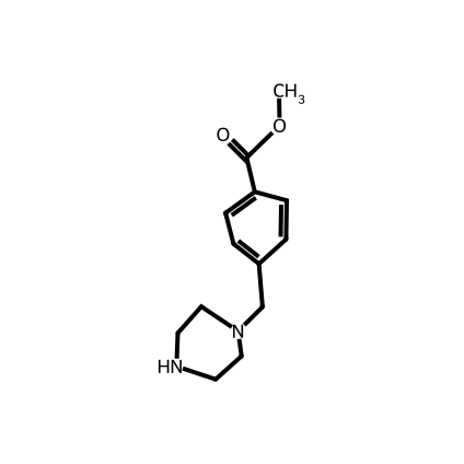 COC(=O)c1ccc(CN2CCNCC2)cc1